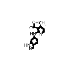 Cc1ccnc(Nc2ccc3cn[nH]c3c2)c1C(=O)O